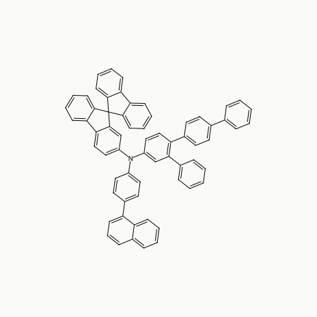 c1ccc(-c2ccc(-c3ccc(N(c4ccc(-c5cccc6ccccc56)cc4)c4ccc5c(c4)C4(c6ccccc6-c6ccccc64)c4ccccc4-5)cc3-c3ccccc3)cc2)cc1